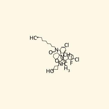 C#CCCCCCCCN(C=O)c1cc(Cl)ccc1C1(N(C)[C@@H](C(=O)N[C@H]2C[C@@H](O)C2)[C@@H](C)c2cccc(Cl)c2F)CCCCC1